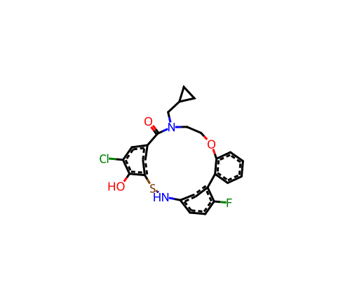 O=C1c2cc(Cl)c(O)c(c2)SNc2ccc(F)c(c2)-c2ccccc2OCCN1CC1CC1